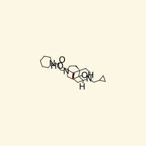 O=C(CN1CC[C@]23CCN(CC4CC4)[C@H](Cc4ccc(O)cc42)[C@]3(O)CC1)N1CCCCC1